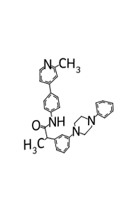 Cc1cc(-c2ccc(NC(=O)C(C)c3cccc(N4CCN(c5ccccc5)CC4)c3)cc2)ccn1